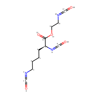 O=C=NCCCC[C@H](N=C=O)C(=O)OCCN=C=O